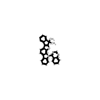 CC1(C)c2ccccc2-c2c1oc1c2ccc2c3ccccc3n(-c3ncnc4ccccc34)c21